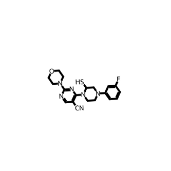 N#Cc1cnc(N2CCOCC2)nc1N1CCN(c2cccc(F)c2)CC1S